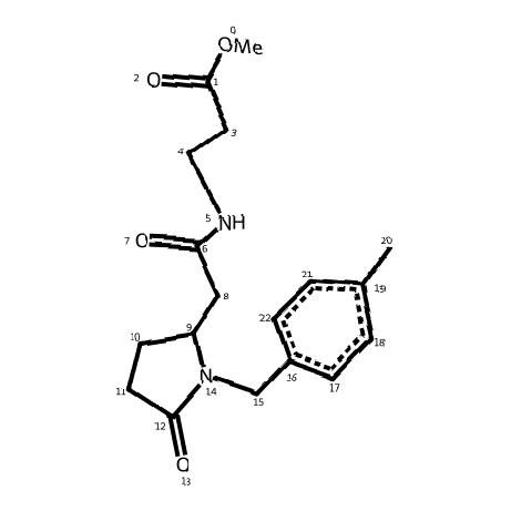 COC(=O)CCNC(=O)CC1CCC(=O)N1Cc1ccc(C)cc1